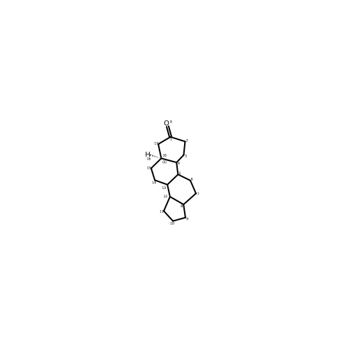 O=C1CCC2C3CCC4CCCC4C3CC[C@H]2C1